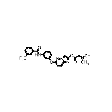 CN(C)CC(=O)Oc1cn2nc(Oc3cccc(NC(=O)c4cccc(C(F)(F)F)c4)c3)ccc2n1